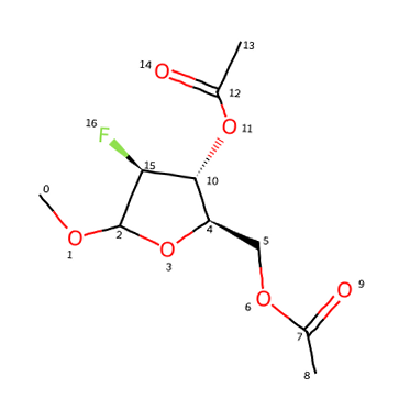 COC1O[C@H](COC(C)=O)[C@@H](OC(C)=O)[C@@H]1F